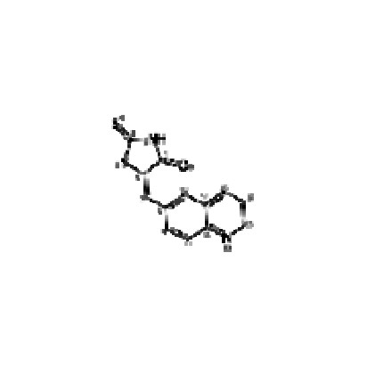 O=C1NC(=S)SC1=Cc1ccc2ncccc2c1